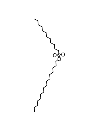 CCCCCCCCCCCCCCCCOS(=O)(=O)CCCCCCCCCCCC